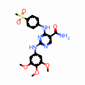 COc1cc(Nc2ncc(C(N)=O)c(Nc3ccc(S(C)(=O)=O)cc3)n2)cc(OC)c1OC